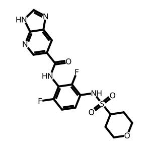 O=C(Nc1c(F)ccc(NS(=O)(=O)C2CCOCC2)c1F)c1cnc2[nH]cnc2c1